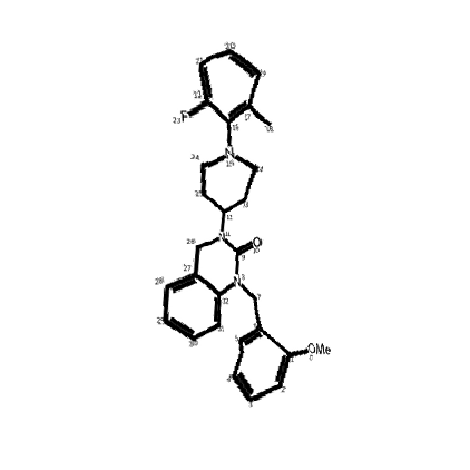 COc1ccccc1CN1C(=O)N(C2CCN(c3c(C)cccc3F)CC2)Cc2ccccc21